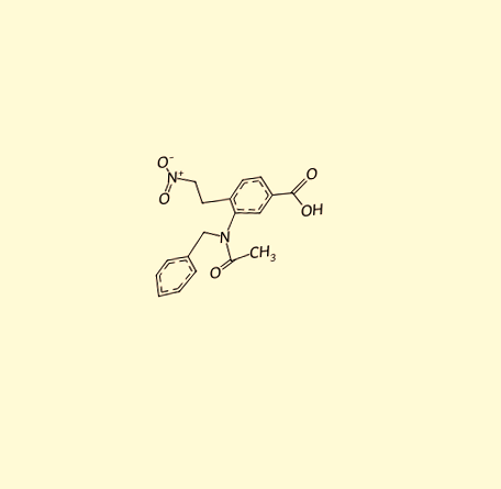 CC(=O)N(Cc1ccccc1)c1cc(C(=O)O)ccc1CC[N+](=O)[O-]